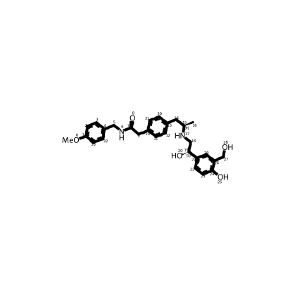 COc1ccc(CNC(=O)Cc2ccc(C[C@@H](C)NC[C@@H](O)c3ccc(O)c(CO)c3)cc2)cc1